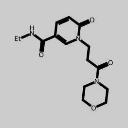 CCNC(=O)c1ccc(=O)n(CCC(=O)N2CCOCC2)c1